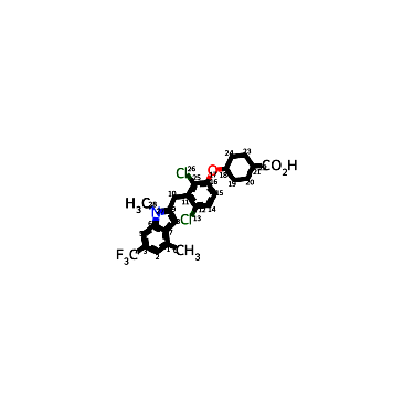 Cc1cc(C(F)(F)F)cc2c1cc(Cc1c(Cl)ccc(OC3CCC(C(=O)O)CC3)c1Cl)n2C